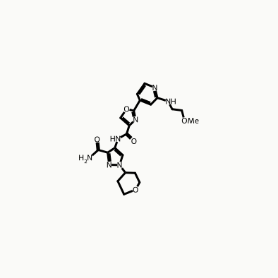 COCCNc1cc(-c2nc(C(=O)Nc3cn(C4CCOCC4)nc3C(N)=O)co2)ccn1